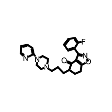 O=C1c2c(-c3ccccc3F)noc2CCC1CCCN1CCN(c2ccccn2)CC1